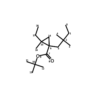 CCC(C)(C)CC1(C(=O)OC(C)(C)C)CC1(C)CC